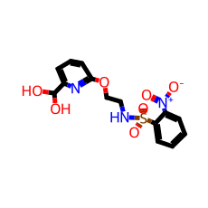 O=[N+]([O-])c1ccccc1S(=O)(=O)NCCOc1cccc(C(O)O)n1